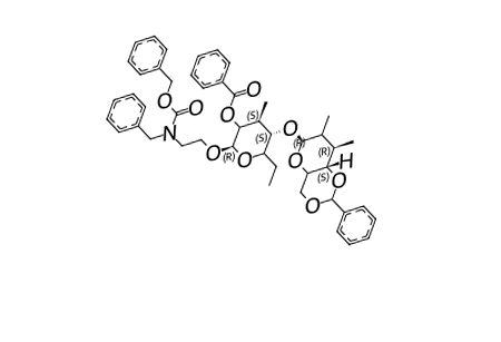 CCC1O[C@@H](OCCN(Cc2ccccc2)C(=O)OCc2ccccc2)C(OC(=O)c2ccccc2)[C@@H](C)[C@@H]1O[C@@H]1OC2COC(c3ccccc3)O[C@H]2[C@H](C)C1C